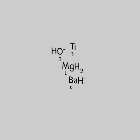 [BaH+].[MgH2].[OH-].[Ti]